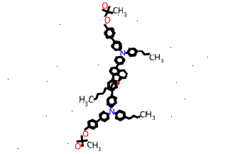 CCCCCCCCC12CCCc3c(-c4ccc(N(c5ccc(CCCC)cc5)c5ccc(-c6ccc(COCC7(CC)COC7)cc6)cc5)cc4)ccc(c31)-c1ccc(-c3ccc(N(c4ccc(CCCC)cc4)c4ccc(-c5ccc(COCC6(CC)COC6)cc5)cc4)cc3)cc12